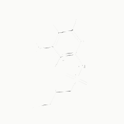 Nc1c(F)c(F)cc(NS(=O)(=O)CCCF)c1F